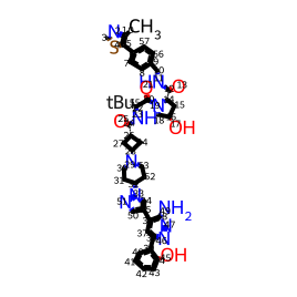 Cc1ncsc1-c1ccc(CNC(=O)[C@@H]2C[C@@H](O)CN2C(=O)[C@@H](NC(=O)[C@H]2C[C@@H](N3CCC(n4cc(-c5cc(-c6ccccc6O)nnc5N)cn4)CC3)C2)C(C)(C)C)cc1